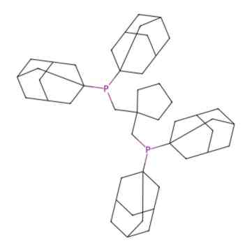 C1CCC(CP(C23CC4CC(CC(C4)C2)C3)C23CC4CC(CC(C4)C2)C3)(CP(C23CC4CC(CC(C4)C2)C3)C23CC4CC(CC(C4)C2)C3)C1